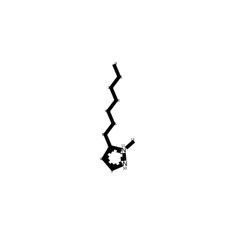 CCCCCCCc1ccnn1C